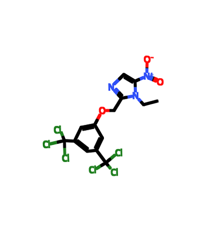 CCn1c([N+](=O)[O-])cnc1COc1cc(C(Cl)(Cl)Cl)cc(C(Cl)(Cl)Cl)c1